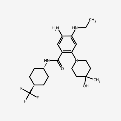 CCNc1cc(N2CCC(C)(O)CC2)c(C(=O)N[C@H]2CC[C@H](C(F)(F)F)CC2)cc1N